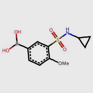 COc1ccc(B(O)O)cc1S(=O)(=O)NC1CC1